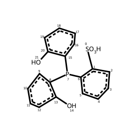 O=S(=O)(O)c1ccccc1P(c1ccccc1O)c1ccccc1O